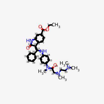 CCOC(=O)c1ccc2c(c1)NC(=O)C2=C(Nc1ccc(N(C)C(=O)CN(C)CCN(C)C)cc1)c1ccccc1